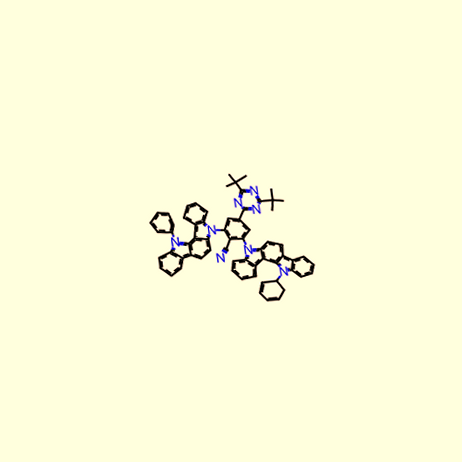 CC(C)(C)c1nc(-c2cc(-n3c4ccccc4c4c3ccc3c5ccccc5n(-c5ccccc5)c34)c(C#N)c(-n3c4ccccc4c4c3ccc3c5ccccc5n(C5C=CC=CC5)c34)c2)nc(C(C)(C)C)n1